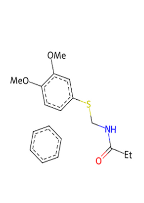 CCC(=O)NCSc1ccc(OC)c(OC)c1.c1ccccc1